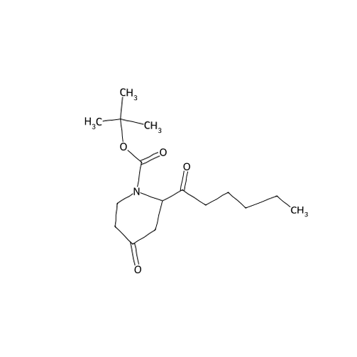 CCCCCC(=O)C1CC(=O)CCN1C(=O)OC(C)(C)C